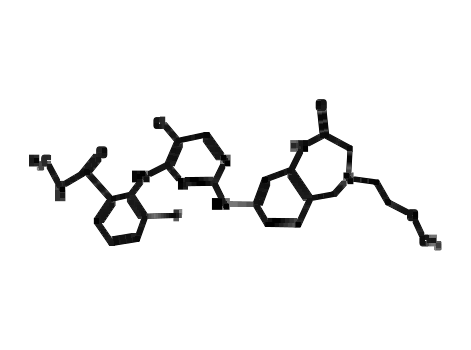 CNC(=O)c1cccc(F)c1Nc1nc(Nc2ccc3c(c2)NC(=O)CN(CCOC)C3)ncc1Cl